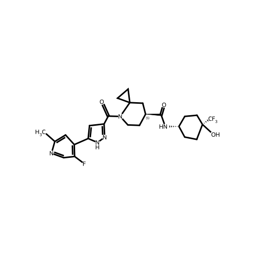 Cc1cc(-c2cc(C(=O)N3CC[C@H](C(=O)N[C@H]4CC[C@@](O)(C(F)(F)F)CC4)CC34CC4)n[nH]2)c(F)cn1